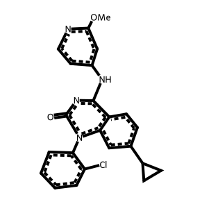 COc1cc(Nc2nc(=O)n(-c3ccccc3Cl)c3cc(C4CC4)ccc23)ccn1